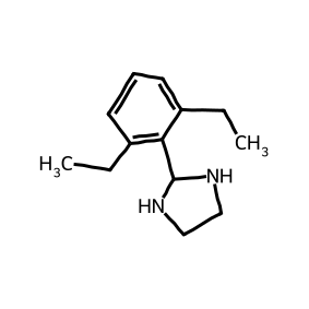 CCc1cccc(CC)c1C1NCCN1